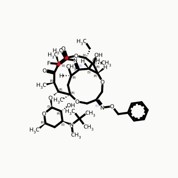 CC[C@H]1OC(=O)[C@@](C)(F)C(=O)[C@H](C)[C@@H](O[C@@H]2O[C@H](C)C[C@H](N(C)C(C)(C)C)[C@H]2O)[C@@]2(C)C[C@@H](C)/C(=N\C(C)=O)[C@H](C)[C@@H](OC/C(=N\OCc3ccccc3)CO2)[C@]1(C)O